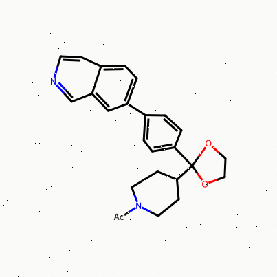 CC(=O)N1CCC(C2(c3ccc(-c4ccc5ccncc5c4)cc3)OCCO2)CC1